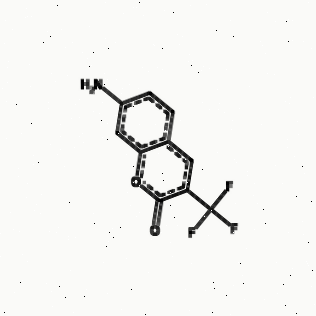 Nc1ccc2cc(C(F)(F)F)c(=O)oc2c1